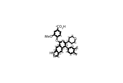 COc1cc(C(=O)O)ccc1Oc1nc(C2CCOCC2)c(-c2ccc(F)c(F)c2)c2cc3cn[nH]c3cc12